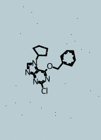 Clc1nc(OCc2ccccc2)c2c(ncn2C2CCCC2)n1